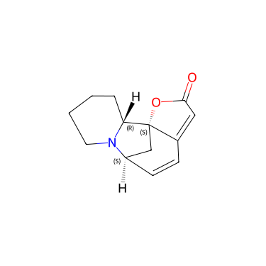 O=C1C=C2C=C[C@@H]3C[C@@]2(O1)[C@H]1CCCCN31